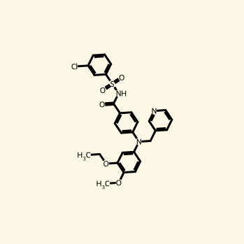 CCOc1cc(N(Cc2cccnc2)c2ccc(C(=O)NS(=O)(=O)c3cccc(Cl)c3)cc2)ccc1OC